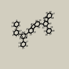 c1ccc(-c2cccc(-c3nc(-c4ccccc4)nc(-c4ccc5c(c4)sc4ccc(-c6cc(-c7ccccc7)cc7c6sc6ccccc67)cc45)n3)c2)cc1